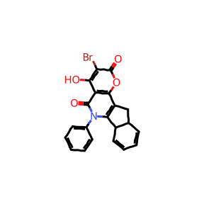 O=c1oc2c3c(n(-c4ccccc4)c(=O)c2c(O)c1Br)C1C=CC=CC1C3